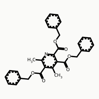 Cc1nc(C(=O)OCc2ccccc2)c(C(=O)OCc2ccccc2)c(C)c1C(=O)OCc1ccccc1